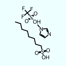 CCCCCCCCS(=O)(=O)O.Cn1ccnc1.O=S(=O)(O)C(F)(F)F